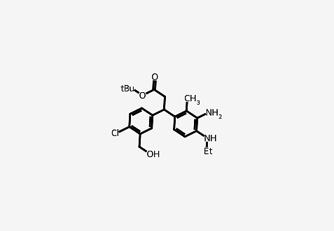 CCNc1ccc(C(CC(=O)OC(C)(C)C)c2ccc(Cl)c(CO)c2)c(C)c1N